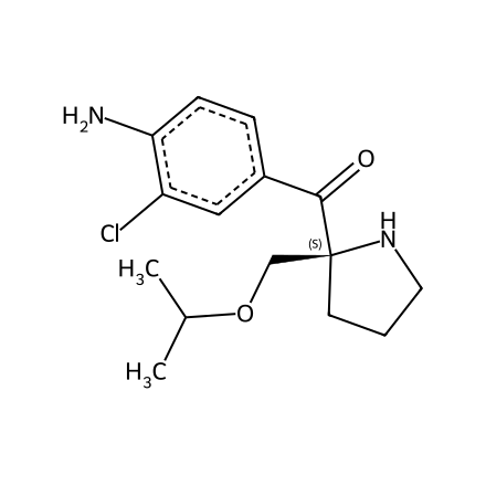 CC(C)OC[C@]1(C(=O)c2ccc(N)c(Cl)c2)CCCN1